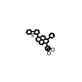 O=C1C(=O)C2C=CC1C=C2c1cc(-c2ccccc2)c2ccc3c(-c4cccc5c4sc4ccccc45)ccc4ccc1c2c43